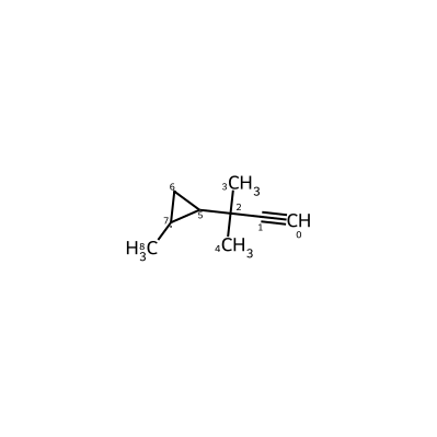 C#CC(C)(C)C1C[C]1C